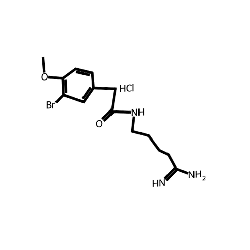 COc1ccc(CC(=O)NCCCCC(=N)N)cc1Br.Cl